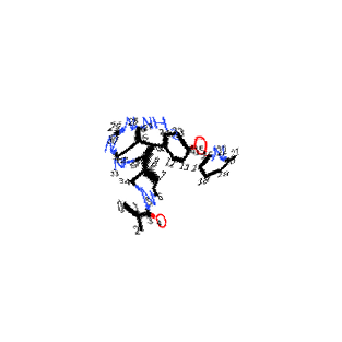 C=C(C)C(=O)N1CC=C(c2c(-c3ccc(Oc4cccc(C)n4)cc3)c3c(N)ncnc3n2C)C1